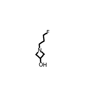 OC1CN(CCCF)C1